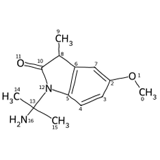 COc1ccc2c(c1)C(C)C(=O)N2C(C)(C)N